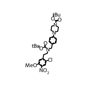 COc1cc(CCN(Cc2ccc(N3CCN(C(=O)OC(C)(C)C)CC3)cc2)C(=O)OC(C)(C)C)c(Cl)cc1[N+](=O)[O-]